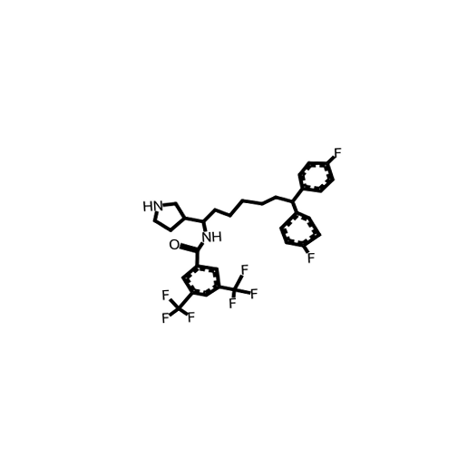 O=C(NC(CCCCCC(c1ccc(F)cc1)c1ccc(F)cc1)C1CCNC1)c1cc(C(F)(F)F)cc(C(F)(F)F)c1